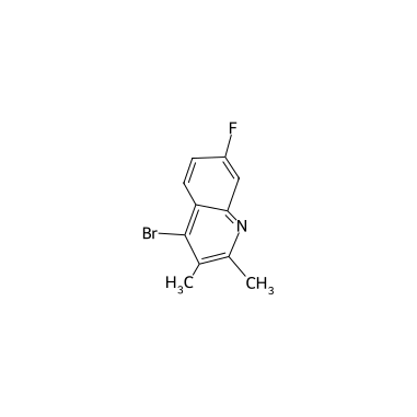 Cc1nc2cc(F)ccc2c(Br)c1C